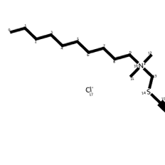 CCCCCCCCCC[N+](C)(C)CSC#N.[Cl-]